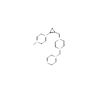 CN1CCN(C2CC2CN2CCN(CN3CCNCC3)CC2)CC1